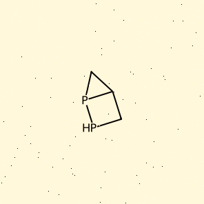 C1PP2CC12